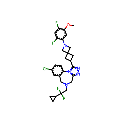 COc1cc(N2CC3(CC(c4nnc5n4-c4ccc(Cl)cc4CN(CC(F)(F)C4CC4)C5)C3)C2)c(F)cc1F